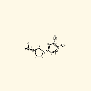 CNN1CC[C@H](c2cnc(Cl)c(Br)c2)C1